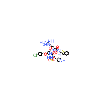 CS(=O)(=O)N[C@H](CCC1CCNCC1)C(=O)N1C[C@H](OCc2ccc(Cl)cc2)C[C@H]1C(=O)N[C@@H](CCCNC(=N)N)C(=O)C(=O)NCc1cc2ccccc2s1